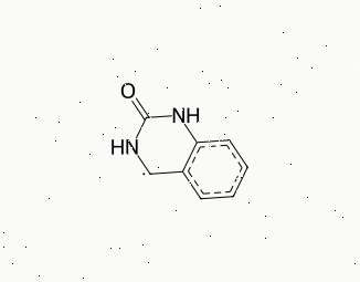 O=C1N[CH]c2ccccc2N1